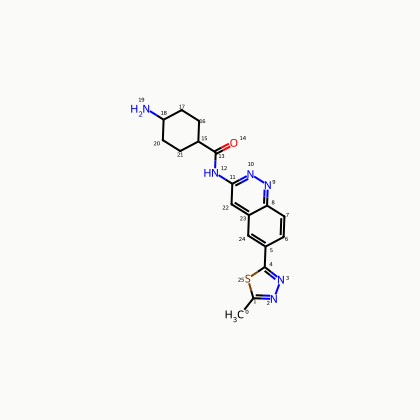 Cc1nnc(-c2ccc3nnc(NC(=O)C4CCC(N)CC4)cc3c2)s1